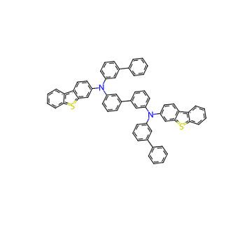 c1ccc(-c2cccc(N(c3cccc(-c4cccc(N(c5cccc(-c6ccccc6)c5)c5ccc6c(c5)sc5ccccc56)c4)c3)c3ccc4c(c3)sc3ccccc34)c2)cc1